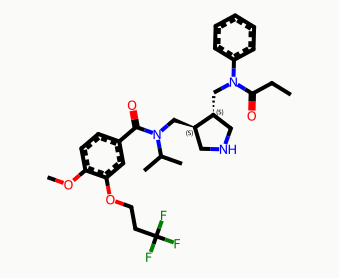 CCC(=O)N(C[C@@H]1CNC[C@H]1CN(C(=O)c1ccc(OC)c(OCCC(F)(F)F)c1)C(C)C)c1ccccc1